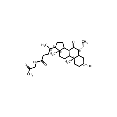 CC[C@H]1C(=O)C2C(CC[C@@]3(C)C2CC[C@@H]3[C@H](C)CCC(=O)NCC(C)=O)[C@@]2(C)CC[C@@H](O)CC12